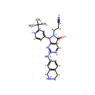 CC(C)(C)c1cc(-n2c3nc(Nc4ccc5c(c4)CNCC5)ncc3c(=O)n2CCC#N)ccn1